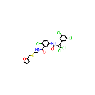 O=C(NCCSCc1ccco1)c1cc(NC(=O)C2C(c3cc(Cl)cc(Cl)c3)C2(Cl)Cl)ccc1Cl